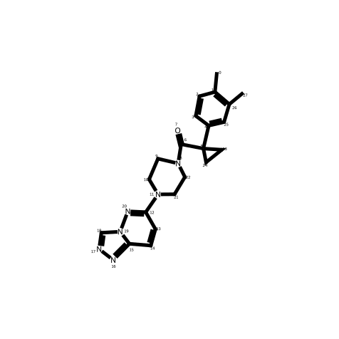 Cc1ccc(C2(C(=O)N3CCN(c4ccc5nncn5n4)CC3)CC2)cc1C